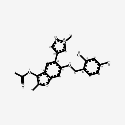 CC(=O)Oc1c(C)oc2cc(OCc3ccc(Cl)cc3Cl)c(-c3cnn(C)c3)cc12